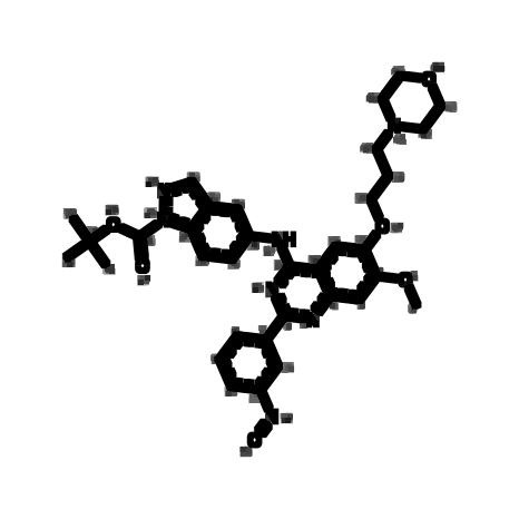 COc1cc2nc(-c3cccc(N=O)c3)nc(Nc3ccc4c(cnn4C(=O)OC(C)(C)C)c3)c2cc1OCCCN1CCOCC1